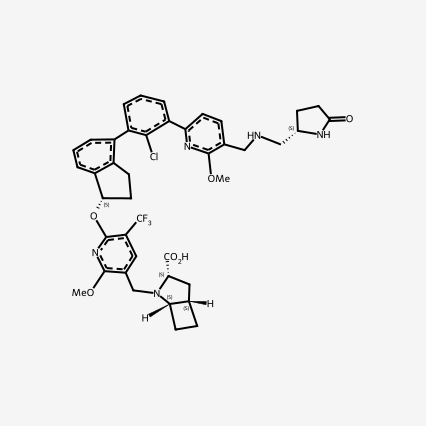 COc1nc(-c2cccc(-c3cccc4c3CC[C@@H]4Oc3nc(OC)c(CN4[C@H](C(=O)O)C[C@@H]5CC[C@@H]54)cc3C(F)(F)F)c2Cl)ccc1CNC[C@@H]1CCC(=O)N1